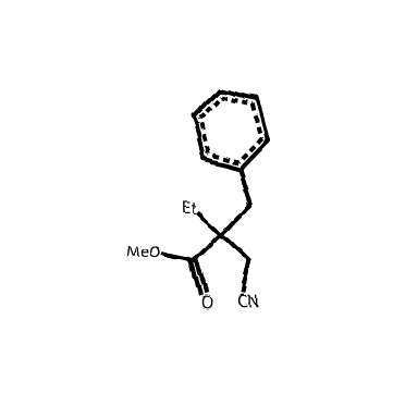 CCC(CC#N)(Cc1ccccc1)C(=O)OC